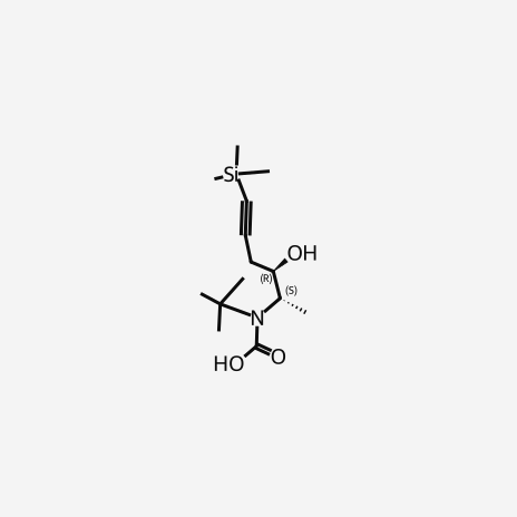 C[C@@H]([C@H](O)CC#C[Si](C)(C)C)N(C(=O)O)C(C)(C)C